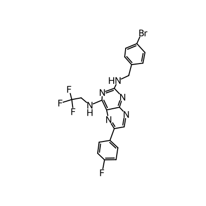 Fc1ccc(-c2cnc3nc(NCc4ccc(Br)cc4)nc(NCC(F)(F)F)c3n2)cc1